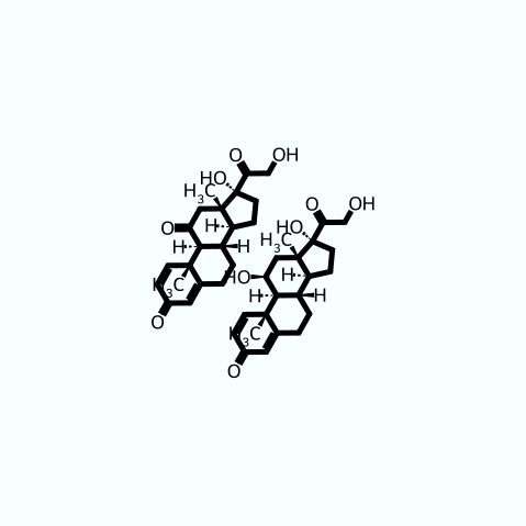 C[C@]12C=CC(=O)C=C1CC[C@@H]1[C@@H]2C(=O)C[C@@]2(C)[C@H]1CC[C@]2(O)C(=O)CO.C[C@]12C=CC(=O)C=C1CC[C@@H]1[C@@H]2[C@@H](O)C[C@@]2(C)[C@H]1CC[C@]2(O)C(=O)CO